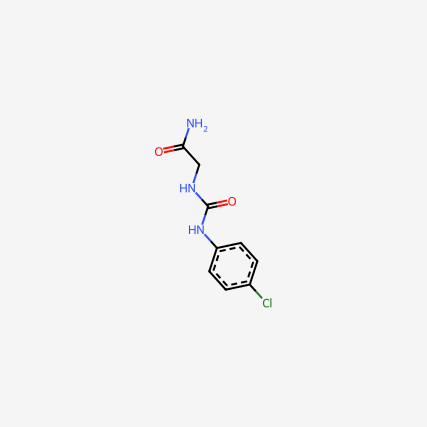 NC(=O)CNC(=O)Nc1ccc(Cl)cc1